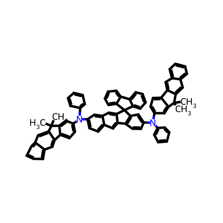 CC1(C)c2cc(N(c3ccccc3)c3ccc4c(c3)C3(c5ccccc5-c5ccccc53)c3cc5cc(N(c6ccccc6)c6ccc7c(c6)C(C)(C)c6cc8ccccc8cc6-7)ccc5cc3-4)ccc2-c2cc3ccccc3cc21